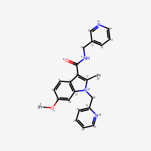 CC(C)Oc1ccc2c(C(=O)NCc3cccnc3)c(C(C)C)n(Cc3ccccn3)c2c1